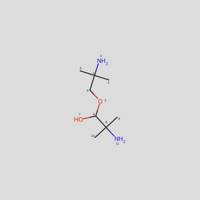 CC(C)(N)COC(O)C(C)(C)N